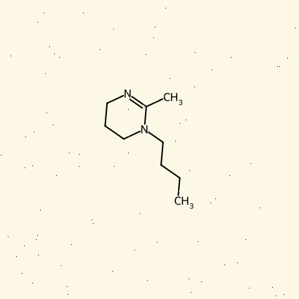 CCCCN1CCCN=C1C